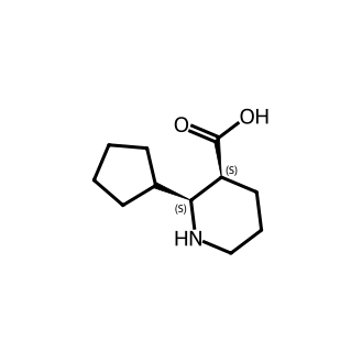 O=C(O)[C@H]1CCCN[C@H]1C1CCCC1